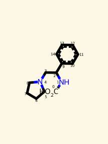 O=C(O)NC(CN1CCCC1)c1ccccc1